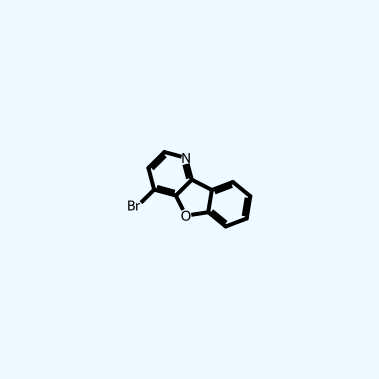 Brc1ccnc2c1oc1ccccc12